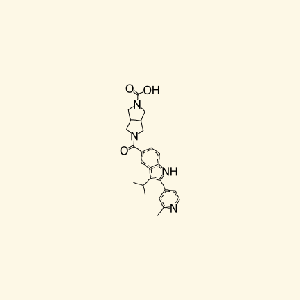 Cc1cc(-c2[nH]c3ccc(C(=O)N4CC5CN(C(=O)O)CC5C4)cc3c2C(C)C)ccn1